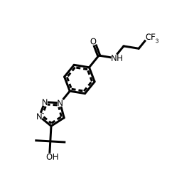 CC(C)(O)c1cn(-c2ccc(C(=O)NCCC(F)(F)F)cc2)nn1